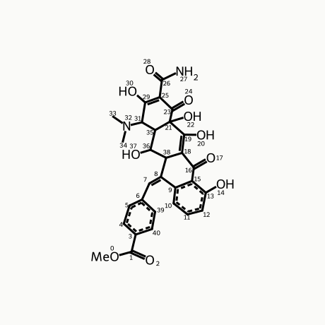 COC(=O)c1ccc(/C=C2\c3cccc(O)c3C(=O)C3=C(O)C4(O)C(=O)C(C(N)=O)=C(O)C(N(C)C)C4C(O)C32)cc1